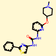 CN1CCC(Oc2cccc(NC(=O)Nc3csc(-c4ccccc4)n3)n2)CC1